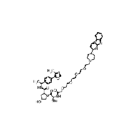 Cc1ncoc1-c1ccc(C(C)NC(=O)[C@@H]2C[C@@H](O)CN2C(=O)C(NC(=O)COCCOCCOCCOCCN2CCN(c3ccn4c(n3)nc3ccccc34)CC2)C(C)(C)C)cc1